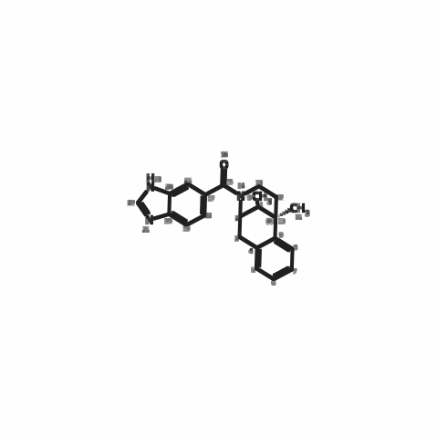 CC1C2Cc3ccccc3[C@]1(C)CCN2C(=O)c1ccc2nc[nH]c2c1